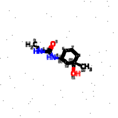 CNC(=O)N[C@H]1CCC[C@](C)(O)C1